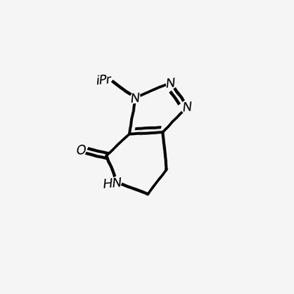 CC(C)n1nnc2c1C(=O)NCC2